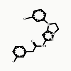 O=C(Cc1cccc(Cl)c1)Nc1cc2n(n1)CCN2c1cccc(Cl)c1